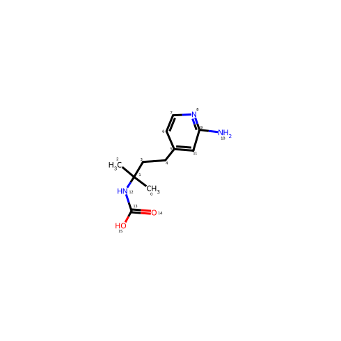 CC(C)(CCc1ccnc(N)c1)NC(=O)O